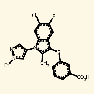 CCn1cc(-n2c(C)c(Sc3cccc(C(=O)O)c3)c3cc(F)c(Cl)cc32)cn1